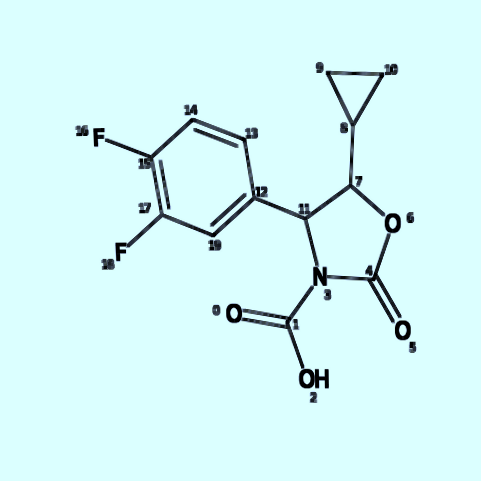 O=C(O)N1C(=O)OC(C2CC2)C1c1ccc(F)c(F)c1